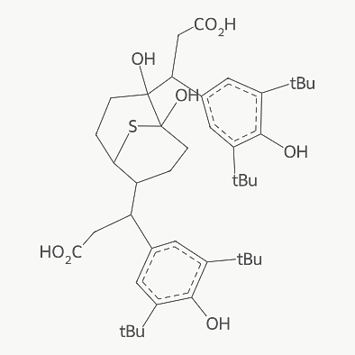 CC(C)(C)c1cc(C(CC(=O)O)C2CCC3(O)SC2CCC3(O)C(CC(=O)O)c2cc(C(C)(C)C)c(O)c(C(C)(C)C)c2)cc(C(C)(C)C)c1O